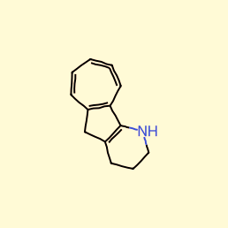 C1=CC=CC2=C(C=1)C1=C(CCCN1)C2